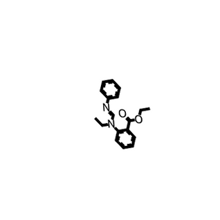 CCOC(=O)c1ccccc1N(C=Nc1ccccc1)CC